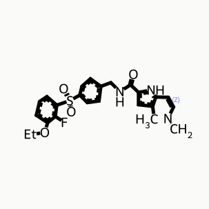 C=N/C=C\c1[nH]c(C(=O)NCc2ccc(S(=O)(=O)c3cccc(OCC)c3F)cc2)cc1C